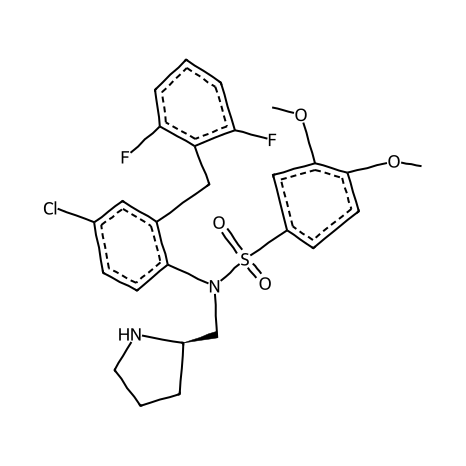 COc1ccc(S(=O)(=O)N(C[C@H]2CCCN2)c2ccc(Cl)cc2Cc2c(F)cccc2F)cc1OC